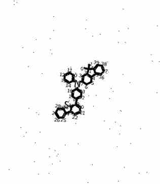 CC1(C)C2=C(CCC(N(c3ccccc3)c3ccc(C4=CC=CC5c6ccccc6SC45)cc3)=C2)c2ccccc21